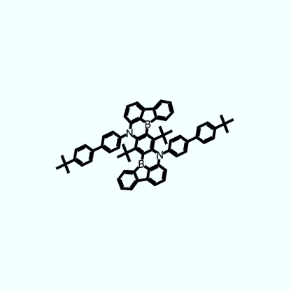 CC(C)(C)c1ccc(-c2ccc(N3c4cccc5c4B(c4ccccc4-5)c4c3c(C(C)(C)C)c3c(c4C(C)(C)C)N(c4ccc(-c5ccc(C(C)(C)C)cc5)cc4)c4cccc5c4B3c3ccccc3-5)cc2)cc1